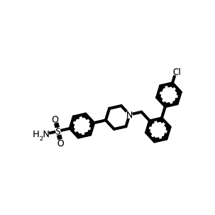 NS(=O)(=O)c1ccc(C2CCN(Cc3ccccc3-c3ccc(Cl)cc3)CC2)cc1